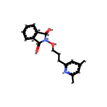 Cc1cc(C)nc(CCCON2C(=O)c3ccccc3C2=O)c1